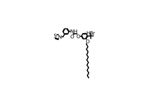 Br.CCCCCCCCCCCCCCOc1cc(OCC(=O)Nc2cccc(CN3C=CSC3)c2)ccc1C(C)(C)C